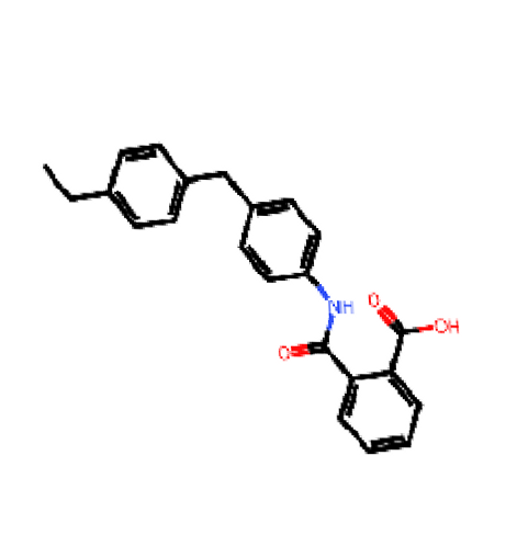 CCc1ccc(Cc2ccc(NC(=O)c3ccccc3C(=O)O)cc2)cc1